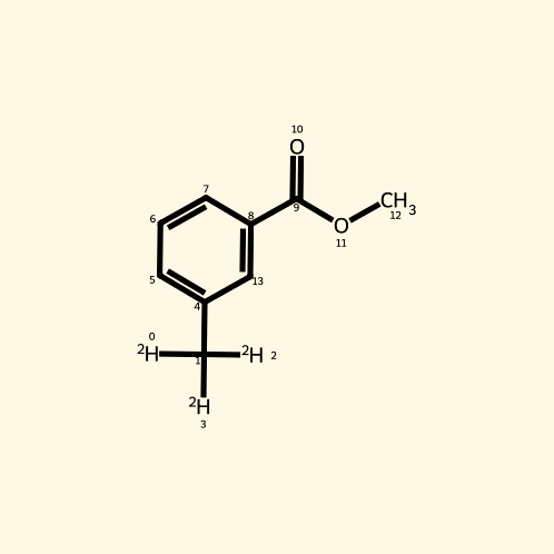 [2H]C([2H])([2H])c1cccc(C(=O)OC)c1